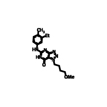 CCc1cc(Nc2nc3nnn(CCCCOC)c3c(=O)[nH]2)ccc1C